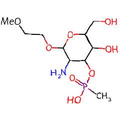 COCCOC1OC(CO)C(O)C(OP(C)(=O)O)C1N